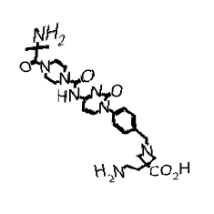 CC(C)(N)C(=O)N1CCN(C(=O)Nc2ccn(-c3ccc(CN4CC(CCN)(C(=O)O)C4)cc3)c(=O)n2)CC1